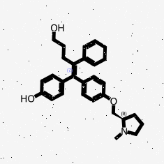 CN1CCC[C@@H]1COc1ccc(/C(=C(/CCCO)C2=CCCC=C2)c2ccc(O)cc2)cc1